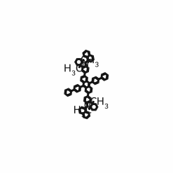 CC12CCCCC1(C)N(c1cccc3ccccc13)c1ccc(-c3ccc4c(-c5ccc(-c6ccccc6)cc5)c5cc(-c6ccc7c(c6)C6(C)CCCCC6(C)N7c6cccc7ccccc67)ccc5c(-c5ccc(-c6ccccc6)cc5)c4c3)cc12